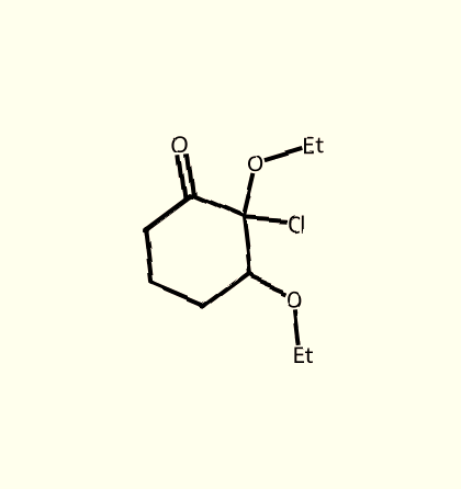 CCOC1CCCC(=O)C1(Cl)OCC